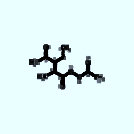 CCC(C(C)=O)=C(C)C(=O)OOC(C)=O